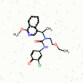 CCOCCN(C(=O)NC1C=CC(=O)C(Cl)=C1)C(C)c1cnc(OC)c2ccccc12